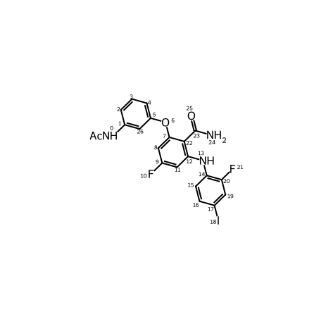 CC(=O)Nc1cccc(Oc2cc(F)cc(Nc3ccc(I)cc3F)c2C(N)=O)c1